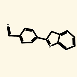 O=Cc1ccc(C2=Nc3ccccc3C2)cc1